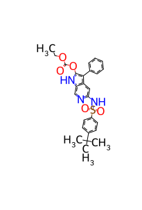 CCOC(=O)Oc1[nH]c2cnc(NS(=O)(=O)c3ccc(C(C)(C)C)cc3)cc2c1-c1ccccc1